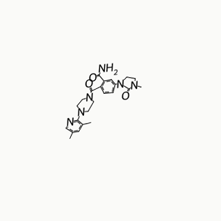 Cc1cnc(N2CCN(C(=O)c3ccc(N4CCN(C)C4=O)cc3C(N)=O)CC2)c(C)c1